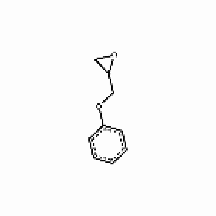 c1ccc(OC[C]2CO2)cc1